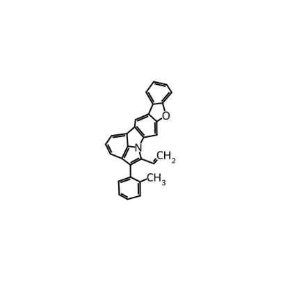 C=Cc1c(-c2ccccc2C)c2cccc3c4cc5c(cc4n1c23)oc1ccccc15